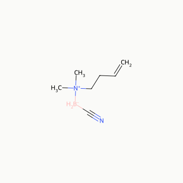 C=CCC[N+](C)(C)[BH2-]C#N